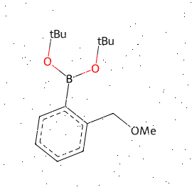 COCc1ccccc1B(OC(C)(C)C)OC(C)(C)C